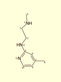 CNCCNc1cc(C)ccn1